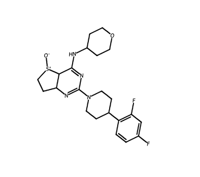 [O-][S+]1CCC2N=C(N3CCC(c4ccc(F)cc4F)CC3)N=C(NC3CCOCC3)C21